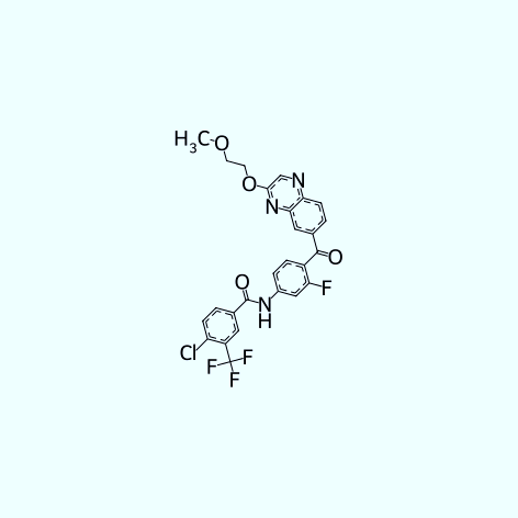 COCCOc1cnc2ccc(C(=O)c3ccc(NC(=O)c4ccc(Cl)c(C(F)(F)F)c4)cc3F)cc2n1